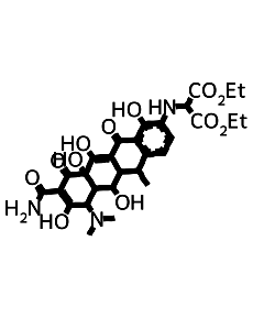 CCOC(=O)C(Nc1ccc2c(c1O)C(=O)C1=C(O)C3(O)C(=O)C(C(N)=O)=C(O)C(N(C)C)C3C(O)C1C2C)C(=O)OCC